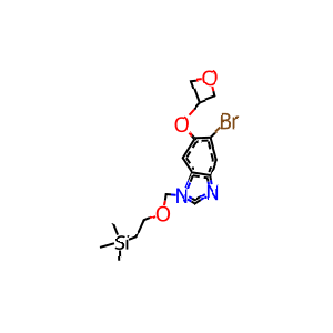 C[Si](C)(C)CCOCn1cnc2cc(Br)c(OC3COC3)cc21